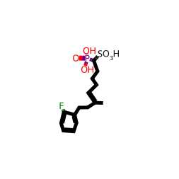 CC(=CCCCC(P(=O)(O)O)S(=O)(=O)O)CCc1ccccc1F